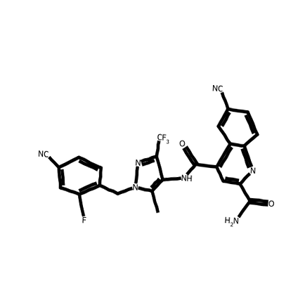 Cc1c(NC(=O)c2cc(C(N)=O)nc3ccc(C#N)cc23)c(C(F)(F)F)nn1Cc1ccc(C#N)cc1F